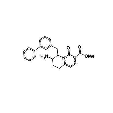 COC(=O)c1ccc2n(c1=O)C(Cc1cccc(-c3ccccc3)c1)C(N)CC2